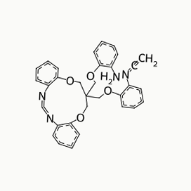 C=C=Nc1ccccc1OCC1(COc2ccccc2N)COc2ccccc2N=C=Nc2ccccc2OC1